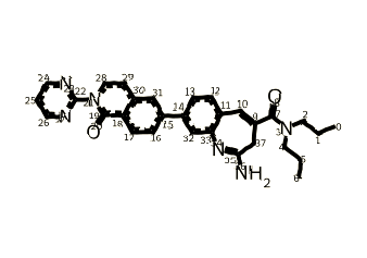 CCCN(CCC)C(=O)C1=Cc2ccc(-c3ccc4c(=O)n(-c5ncccn5)ccc4c3)cc2N=C(N)C1